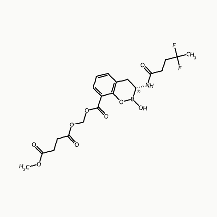 COC(=O)CCC(=O)OCOC(=O)c1cccc2c1OB(O)[C@@H](NC(=O)CCC(C)(F)F)C2